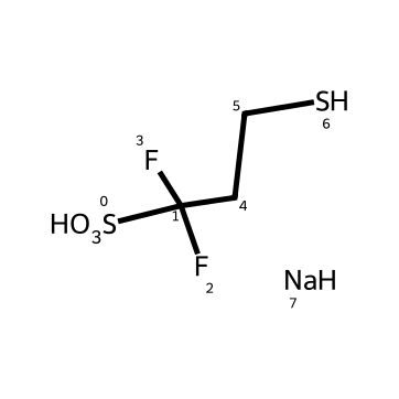 O=S(=O)(O)C(F)(F)CCS.[NaH]